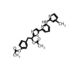 CC(=O)Oc1ccc(CC(OC(C)=O)c2ncc(-c3cccc(Nc4cc(C)ccn4)n3)s2)cc1